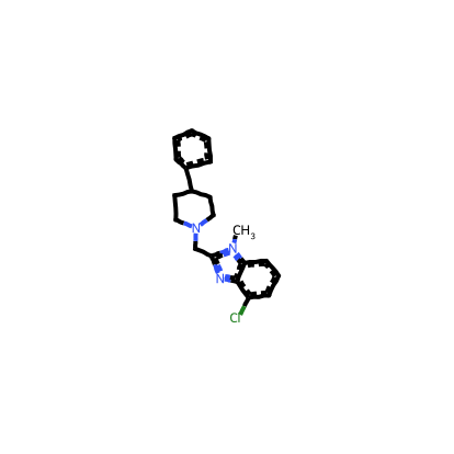 Cn1c(CN2CCC(c3ccccc3)CC2)nc2c(Cl)cccc21